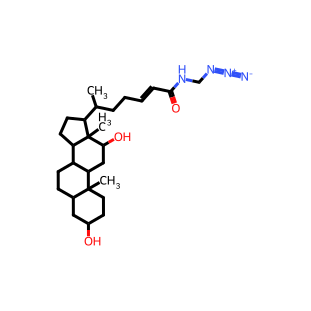 CC(CC/C=C/C(=O)NCN=[N+]=[N-])C1CCC2C3CCC4CC(O)CCC4(C)C3CC(O)C12C